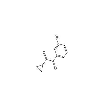 O=C(C(=O)C1CC1)c1cccc(O)c1